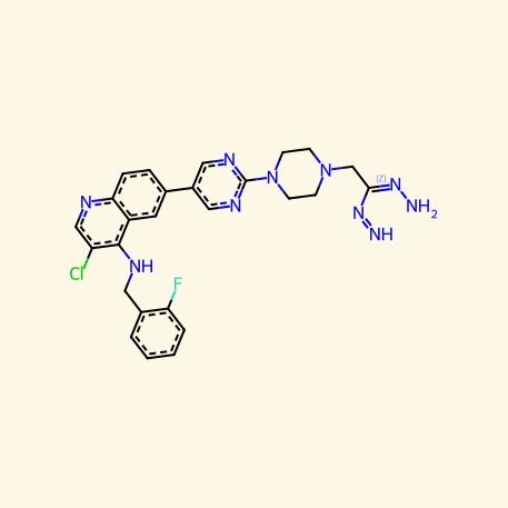 N=N/C(CN1CCN(c2ncc(-c3ccc4ncc(Cl)c(NCc5ccccc5F)c4c3)cn2)CC1)=N\N